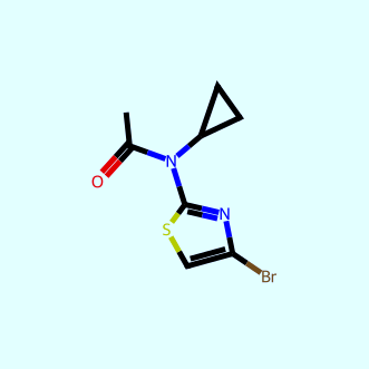 CC(=O)N(c1nc(Br)cs1)C1CC1